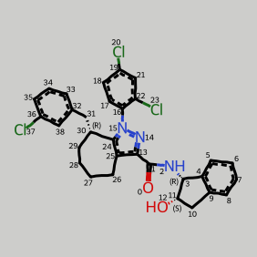 O=C(N[C@@H]1c2ccccc2C[C@@H]1O)c1nn(-c2ccc(Cl)cc2Cl)c2c1CCCC[C@@H]2Cc1cccc(Cl)c1